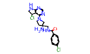 N[C@]1(CNC(=O)c2ccc(Cl)cc2)CCN(c2ncnc3c2C(Cl)CN3)C1